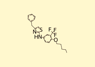 CCCCCOc1ccc(Nc2nc(Cc3ccccc3)cs2)cc1C(F)(F)F